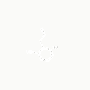 C=CCc1ccccc1O.Cl